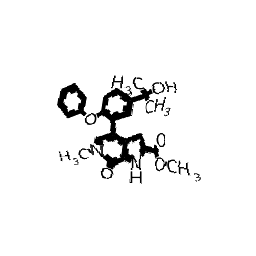 COC(=O)c1cc2c(-c3cc(C(C)(C)O)ccc3Oc3ccccc3)cn(C)c(=O)c2[nH]1